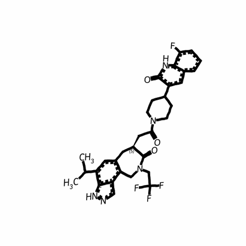 CC(C)c1cc2c(c3cn[nH]c13)CN(CC(F)(F)F)C(=O)[C@H](CC(=O)N1CCC(c3cc4cccc(F)c4[nH]c3=O)CC1)C2